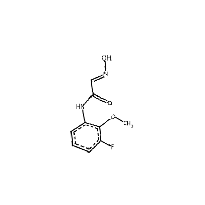 COc1c(F)cccc1NC(=O)C=NO